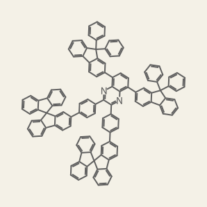 c1ccc(C2(c3ccccc3)c3ccccc3-c3ccc(-c4ccc(-c5ccc6c(c5)C(c5ccccc5)(c5ccccc5)c5ccccc5-6)c5nc(-c6ccc(-c7ccc8c(c7)C7(c9ccccc9-c9ccccc97)c7ccccc7-8)cc6)c(-c6ccc(-c7ccc8c(c7)C7(c9ccccc9-c9ccccc97)c7ccccc7-8)cc6)nc45)cc32)cc1